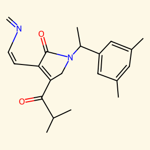 C=N/C=C\C1=C(C(=O)C(C)C)CN(C(C)c2cc(C)cc(C)c2)C1=O